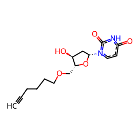 C#CCCCCOC[C@H]1O[C@@H](n2ccc(=O)[nH]c2=O)C[C@@H]1O